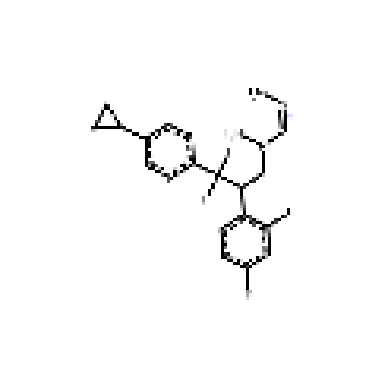 N/N=C\N(N)CC(c1ccc(F)cc1F)C(F)(F)c1ccc(C2CC2)cn1